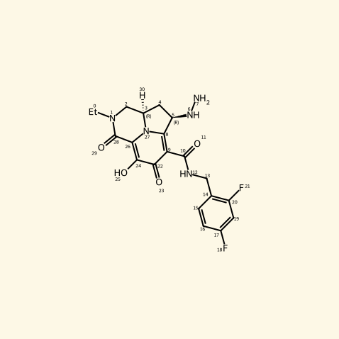 CCN1C[C@H]2C[C@@H](NN)c3c(C(=O)NCc4ccc(F)cc4F)c(=O)c(O)c(n32)C1=O